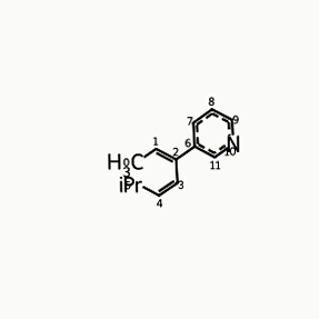 C/C=C(\C=C/C(C)C)c1cccnc1